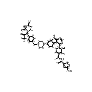 Cc1c(C(C)NC(=O)c2noc(C(C)(C)C)n2)ccc(-c2ncnc3[nH]c4cc(N5CCN(Cc6ccc7c(c6)C(C)(C)C(=O)N7C6CCC(=O)NC6=O)CC5)ccc4c23)c1F